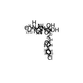 O[C@@H]1[C@H](O)[C@H](n2cnc3c(NC4CCOC4)ncnc32)O[C@H]1CSCc1cc(-c2ccc(Cl)cc2)no1